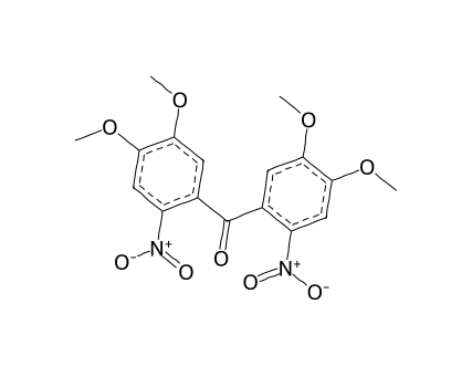 COc1cc(C(=O)c2cc(OC)c(OC)cc2[N+](=O)[O-])c([N+](=O)[O-])cc1OC